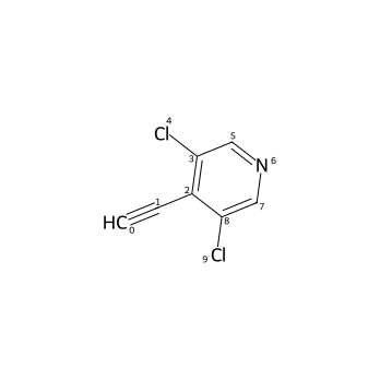 C#Cc1c(Cl)cncc1Cl